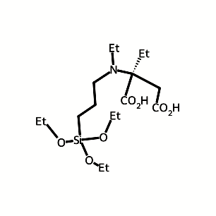 CCO[Si](CCCN(CC)[C@@](CC)(CC(=O)O)C(=O)O)(OCC)OCC